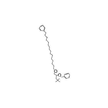 CC(C)(C)CC(COCCCCCCCCCCCCCCCCc1ccccc1)OCc1ccccc1